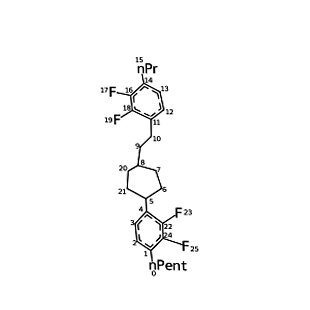 CCCCCc1ccc(C2CCC(CCc3ccc(CCC)c(F)c3F)CC2)c(F)c1F